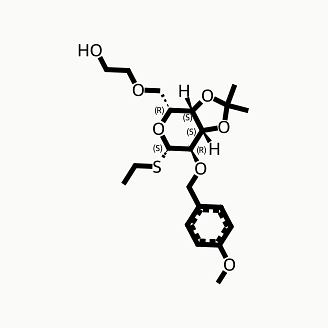 CCS[C@@H]1O[C@H](COCCO)[C@@H]2OC(C)(C)O[C@@H]2[C@H]1OCc1ccc(OC)cc1